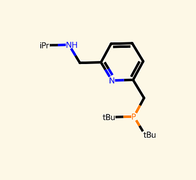 CC(C)NCc1cccc(CP(C(C)(C)C)C(C)(C)C)n1